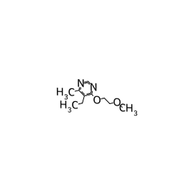 CCc1c(C)ncnc1OCCOC